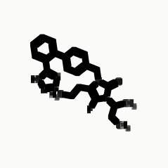 CCCc1c(F)n(C(C)CC)c(=O)n1Cc1ccc(-c2ccccc2-c2nnn[nH]2)cc1